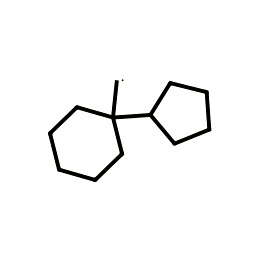 [CH2]C1(C2CCCC2)CCCCC1